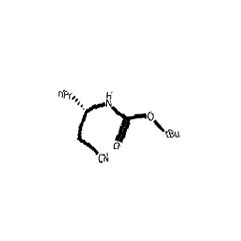 CCC[C@@H](CC#N)NC(=O)OC(C)(C)C